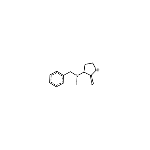 O=C1NCCC1N(I)Cc1ccccc1